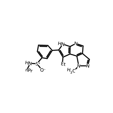 CCCN[S+]([O-])c1cccc(-c2[nH]c3ncc4cnn(C)c4c3c2CC)c1